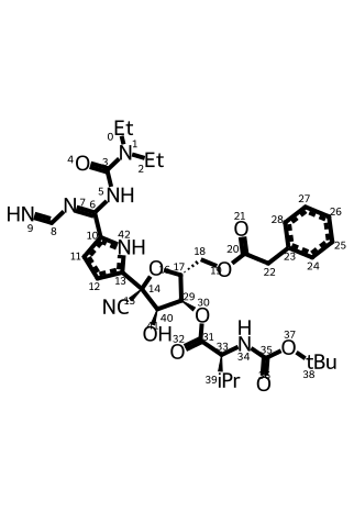 CCN(CC)C(=O)N/C(=N/C=N)c1ccc([C@]2(C#N)O[C@H](COC(=O)Cc3ccccc3)[C@@H](OC(=O)[C@@H](NC(=O)OC(C)(C)C)C(C)C)[C@H]2O)[nH]1